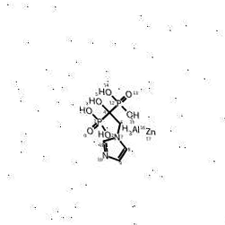 O=P(O)(O)C(O)(Cn1ccnc1)P(=O)(O)O.[AlH3].[Zn]